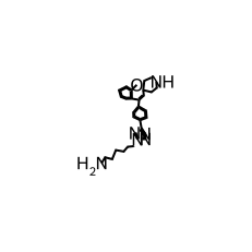 NCCCCCCn1nnc(-c2ccc(C3=CC4(CCNCC4)Oc4ccccc43)cc2)n1